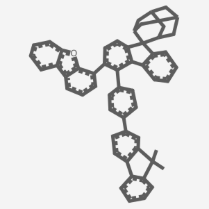 CC1(C)c2ccccc2-c2ccc(-c3ccc(-c4c(-c5cccc6c5oc5ccccc56)ccc5c4-c4ccccc4C54C5CC6CC(C5)CC4C6)cc3)cc21